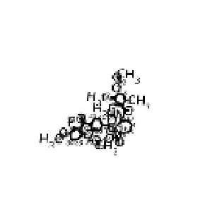 COCOc1cc(C)c(C(=O)NC2CCCC[N+](OC(=O)c3ccc(C(=O)c4c(OCOC)ccc(OC)c4F)cc3)(C(=O)[O-])C2)c(C)c1C